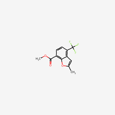 COC(=O)c1ccc(C(F)(F)F)c2cc(C)oc12